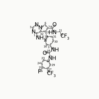 Nc1ncnn2cc(C(=O)NCC(F)(F)F)c(-c3ccc(NC(=O)Nc4ccc(F)c(C(F)(F)F)c4)cc3)c12